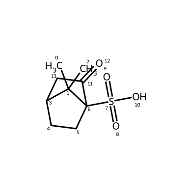 CC1(C)C2CCC1(S(=O)(=O)O)C(=O)C2